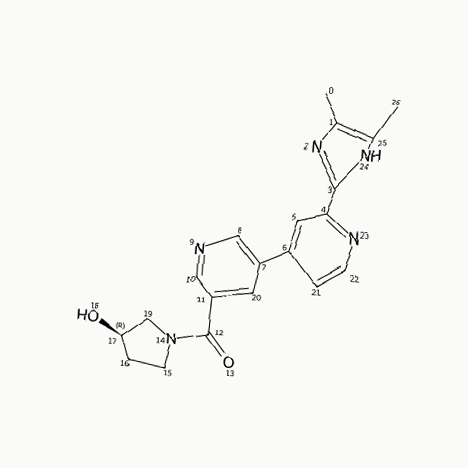 Cc1nc(-c2cc(-c3cncc(C(=O)N4CC[C@@H](O)C4)c3)ccn2)[nH]c1C